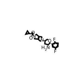 N[C@H]1C[C@@H](N2CC3=C(C2)CN(S(=O)(=O)C2CC2)C3)CO[C@@H]1c1cc(F)ccc1F